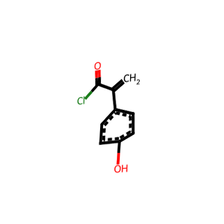 C=C(C(=O)Cl)c1ccc(O)cc1